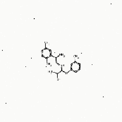 Cc1cccc(OC(NCC(N)c2cc(C)ccc2C)C(C)O)c1